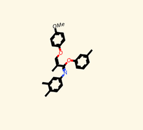 COc1ccc(OC=C(C)C(=Nc2ccc(C)c(C)c2)Oc2cccc(C)c2)cc1